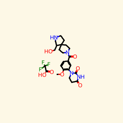 COc1ccc(C(=O)N2CCC3(CCNCC3CO)CC2)cc1N1CCC(=O)NC1=O.O=C(O)C(F)(F)F